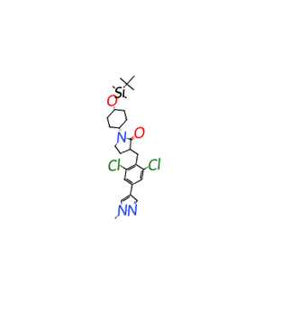 Cn1cc(-c2cc(Cl)c(CC3CCN([C@H]4CC[C@@H](O[Si](C)(C)C(C)(C)C)CC4)C3=O)c(Cl)c2)cn1